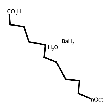 CCCCCCCCCCCCCCCCCC(=O)O.O.[BaH2]